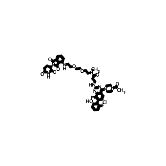 CC(=O)N1CCN(c2nc(NCCC(=O)N(C)CCOCCOCCNc3cccc4c3C(=O)N(C3CCC(=O)NC3=O)C4=O)nc3c(F)c(-c4c(O)cccc4F)c(Cl)cc23)CC1